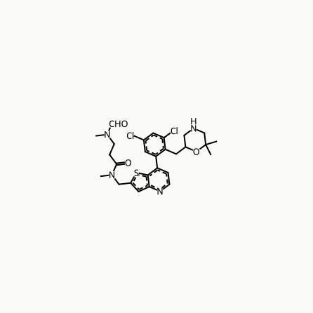 CN(C=O)CCC(=O)N(C)Cc1cc2nccc(-c3cc(Cl)cc(Cl)c3CC3CNCC(C)(C)O3)c2s1